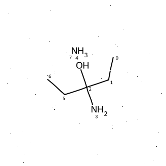 CCC(N)(O)CC.N